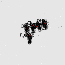 CCC(=O)C(N(C)C1CCCCC1)C1(c2ccc(Cl)c(Cl)c2)CCC1.CCC(=O)C(N(C)CCN1CCOCC1)C1(c2ccc(Cl)c(Cl)c2)CCC1.CCC(=O)C(N(C)CCN1CCOCC1)C1(c2cccc(C(F)(F)F)c2)CCC1.CCC(=O)C(N(C)CCO)C1(c2ccc(Cl)c(Cl)c2)CCC1.CCC(=O)C(N1CC=CCC1)C1(c2ccc(Cl)c(Cl)c2)CCC1